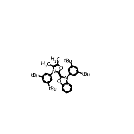 CC1=C(C)N(c2cc(C(C)(C)C)cc(C(C)(C)C)c2)/C(=C2\Oc3ccccc3N2c2cc(C(C)(C)C)cc(C(C)(C)C)c2)O1